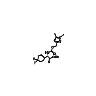 COC(=O)[C@@H](NC(=O)OCc1cc(C)n(C)n1)C1CCC(F)(F)CC1